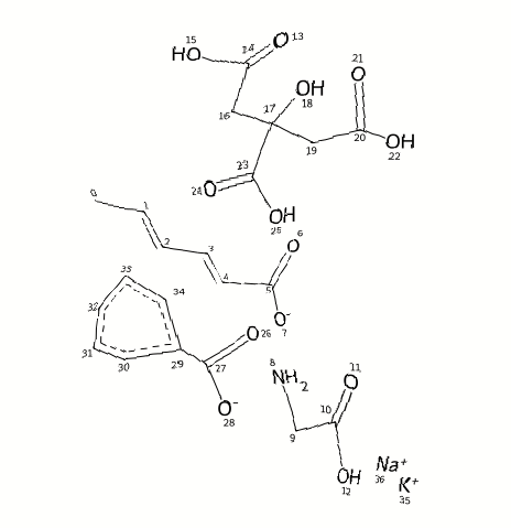 CC=CC=CC(=O)[O-].NCC(=O)O.O=C(O)CC(O)(CC(=O)O)C(=O)O.O=C([O-])c1ccccc1.[K+].[Na+]